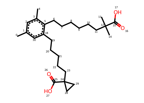 Cc1cc(C)c(CCCCCCC(C)(C)C(=O)O)c(CCCCCC2(C(=O)O)CC2)c1